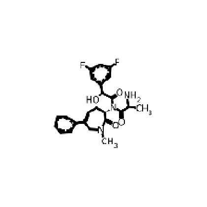 C[C@H](N)C(=O)N(C(=O)[C@@H](O)c1cc(F)cc(F)c1)[C@H]1CC=C(c2ccccc2)CN(C)C1=O